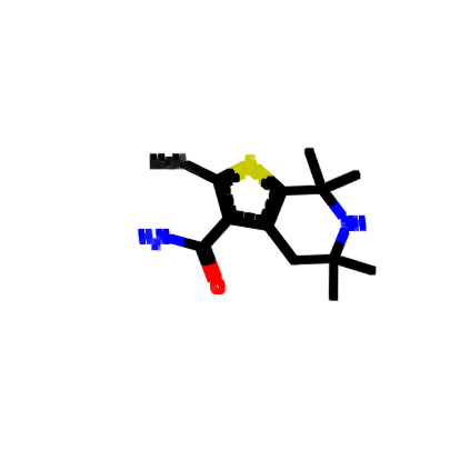 CNc1sc2c(c1C(N)=O)CC(C)(C)NC2(C)C